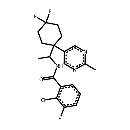 Cc1ncc(C2(C(C)NC(=O)c3cccc(F)c3Cl)CCC(F)(F)CC2)cn1